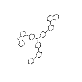 c1ccc(-c2cccc(-c3ccc(N(c4ccc(-c5cccc(-c6cccc7ccccc67)c5)cc4)c4ccc(-c5cccc6sc7ccccc7c56)cc4)cc3)c2)cc1